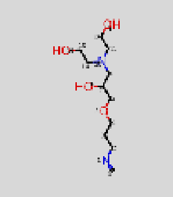 C=NCCCOCC(O)CN(CCO)CCO